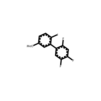 COc1ccc(I)c(-c2cc(F)c(F)cc2F)c1